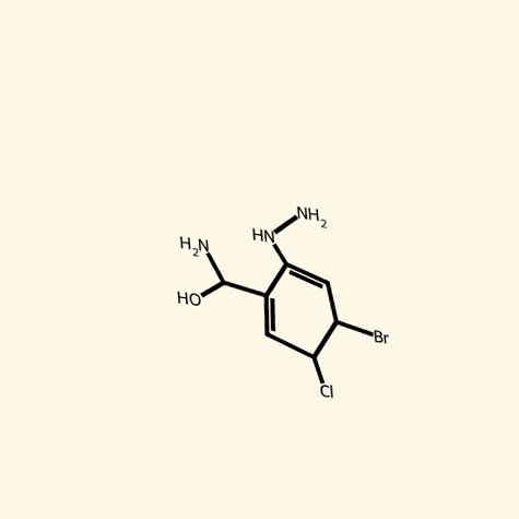 NNC1=CC(Br)C(Cl)C=C1C(N)O